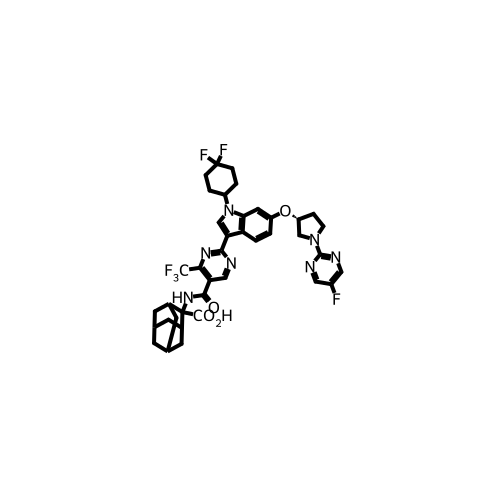 O=C(NC1(C(=O)O)C2CC3CC(C2)CC1C3)c1cnc(-c2cn(C3CCC(F)(F)CC3)c3cc(O[C@@H]4CCN(c5ncc(F)cn5)C4)ccc23)nc1C(F)(F)F